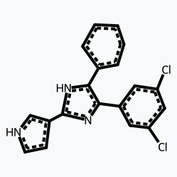 Clc1cc(Cl)cc(-c2nc(-c3cc[nH]c3)[nH]c2-c2ccccc2)c1